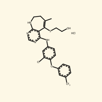 CC1=C(SCCO)c2c(ncnc2Nc2ccc(Oc3cccc(C(F)(F)F)c3)c(Cl)c2)NCC1.Cl